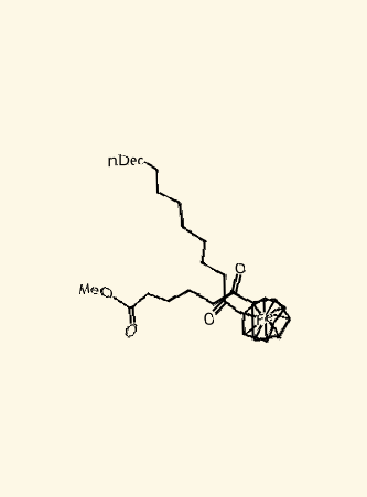 CCCCCCCCCCCCCCCCCC(=O)[C]12[CH]3[CH]4[CH]5[CH]1[Fe]45321678[CH]2[CH]1[CH]6[C]7(C(=O)CCCCC(=O)OC)[CH]28